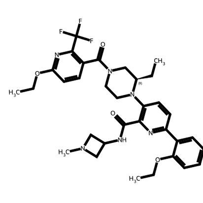 CCOc1ccc(C(=O)N2CCN(c3ccc(-c4ccccc4OCC)nc3C(=O)NC3CN(C)C3)[C@H](CC)C2)c(C(F)(F)F)n1